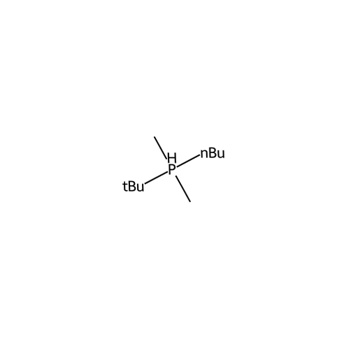 CCCC[PH](C)(C)C(C)(C)C